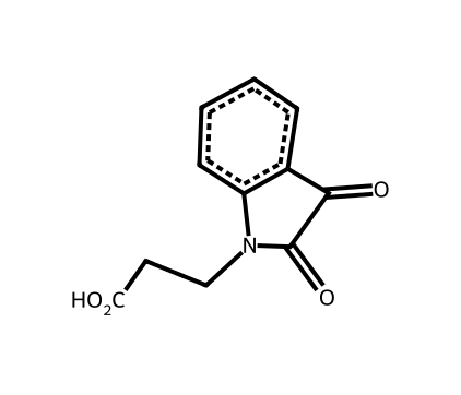 O=C(O)CCN1C(=O)C(=O)c2ccccc21